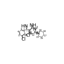 N=C(c1cccc(Cl)c1Cl)c1ncc(N2CCCCC2)nc1N